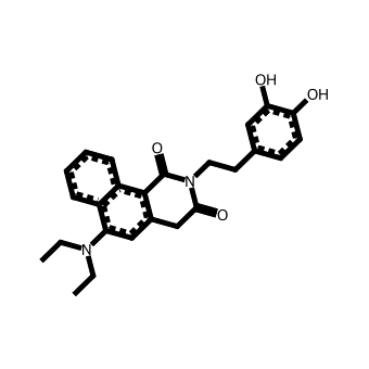 CCN(CC)c1cc2c(c3ccccc13)C(=O)N(CCc1ccc(O)c(O)c1)C(=O)C2